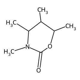 CC1OC(=O)N(C)C(C)C1C